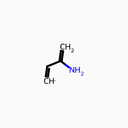 [CH]=CC(=C)N